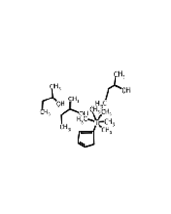 CCC(C)O.CCC(C)O.CCC(C)O.[CH3][Ti]([CH3])([CH3])([CH3])([CH3])[C]1=CC=CC1